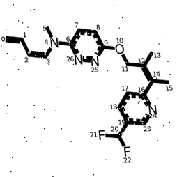 C=C/C=C\N(C)c1ccc(OC/C(C)=C(/C)c2ccc(C(F)F)cn2)nn1